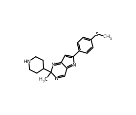 CSc1ccc(C2=CC3=NC(C)(C4CCNCC4)N=CC3=N2)cc1